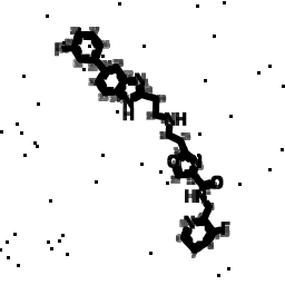 O=C(NCc1ncccc1F)c1coc(CCNCCc2nc3cc(-c4cccc(F)c4)ccc3[nH]2)n1